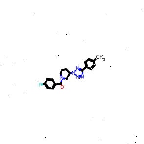 Cc1ccc(-c2nnn(C3CCCN(C(=O)c4ccc(F)cc4)C3)n2)cc1